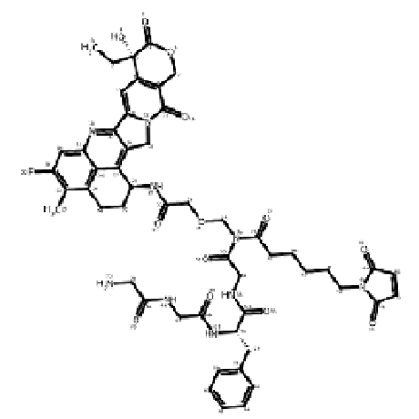 CC[C@@]1(O)C(=O)OCc2c1cc1n(c2=O)Cc2c-1nc1cc(F)c(C)c3c1c2[C@@H](NC(=O)COCN(C(=O)CCCCCN1C(=O)C=CC1=O)C(=O)CNC(=O)[C@H](Cc1ccccc1)NC(=O)CNC(=O)CN)CC3